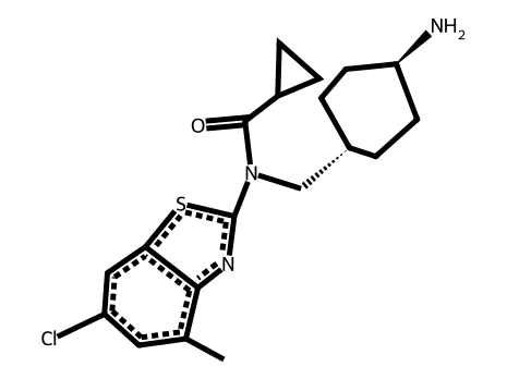 Cc1cc(Cl)cc2sc(N(C[C@H]3CC[C@H](N)CC3)C(=O)C3CC3)nc12